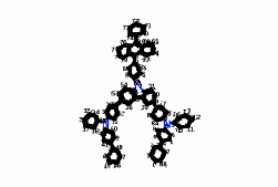 c1ccc(-c2ccc(N(c3ccccc3)c3ccc(-c4ccc5c(c4)c4cc(-c6ccc(N(c7ccccc7)c7ccc(-c8ccccc8)cc7)cc6)ccc4n5-c4ccc(-c5c6ccccc6c(-c6ccccc6)c6ccccc56)cc4)cc3)cc2)cc1